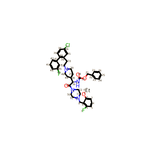 CCOc1cccc(F)c1CN1CCN(C(=O)[C@H](NC(=O)OCc2ccccc2)C2CCN(CCc3cc(Cl)ccc3-c3cccc(F)c3)CC2)CC1